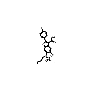 CNC(=O)c1c(-c2ccc(F)cc2)oc2cc(N(CCCF)S(C)(=O)=O)c(Br)cc12